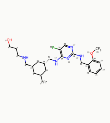 CCCC1C[C@@H](CNCCCO)C[C@H](CNc2nc(NCc3ccccc3OC(F)(F)F)ncc2F)C1